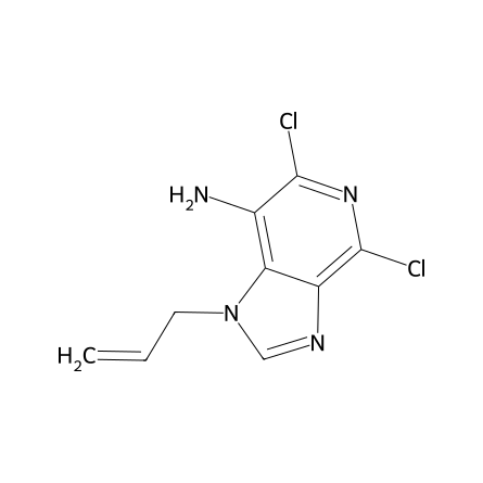 C=CCn1cnc2c(Cl)nc(Cl)c(N)c21